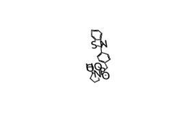 O=C1CCCN1P(=O)(O)Cc1ccc(-c2nc3ccccc3s2)cc1